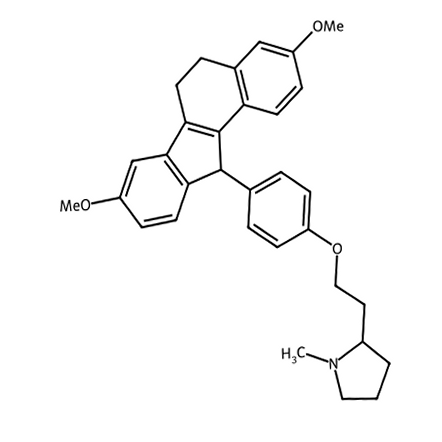 COc1ccc2c(c1)CCC1=C2C(c2ccc(OCCC3CCCN3C)cc2)c2ccc(OC)cc21